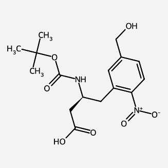 CC(C)(C)OC(=O)N[C@H](CC(=O)O)Cc1cc(CO)ccc1[N+](=O)[O-]